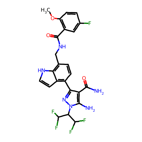 COc1ccc(F)cc1C(=O)NCc1ccc(-c2nn(C(C(F)F)C(F)F)c(N)c2C(N)=O)c2cc[nH]c12